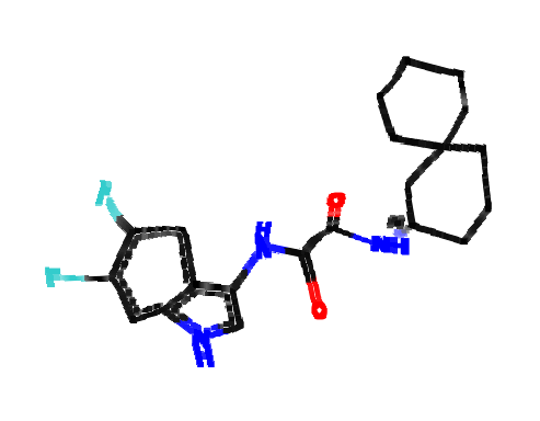 O=C(Nc1c[nH]c2cc(F)c(F)cc12)C(=O)N[C@H]1CCCC2(CCCCC2)C1